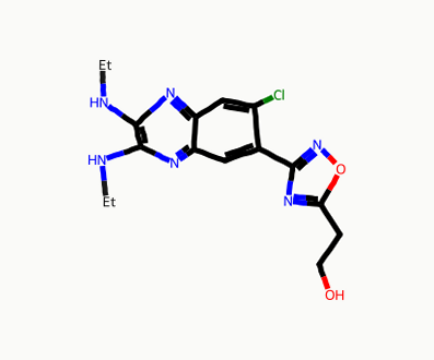 CCNc1nc2cc(Cl)c(-c3noc(CCO)n3)cc2nc1NCC